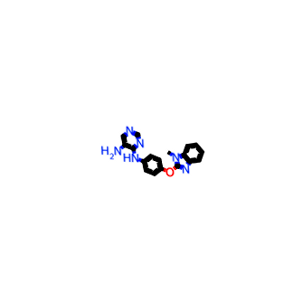 Cn1c(Oc2ccc(Nc3ncncc3N)cc2)nc2ccccc21